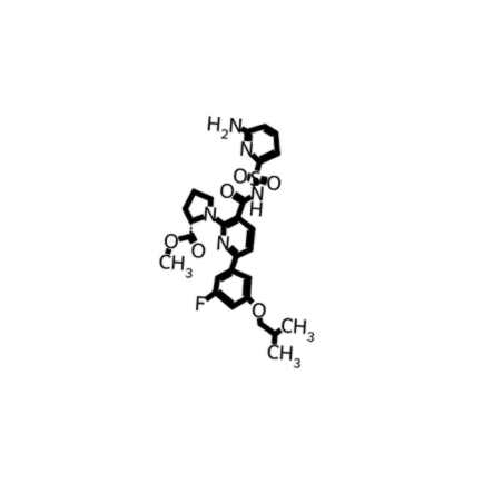 COC(=O)[C@@H]1CCCN1c1nc(-c2cc(F)cc(OCC(C)C)c2)ccc1C(=O)NS(=O)(=O)c1cccc(N)n1